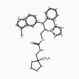 CC(COC(=O)NCC1(C(=O)O)CCCC1)C(c1ccc2scc(Br)c2c1)c1ccccc1-c1nnn[nH]1